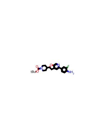 CC(C)(C)OC(=O)N1CCC(C2Cc3cc(-c4ccc(N)c(F)c4)ncc3O2)CC1